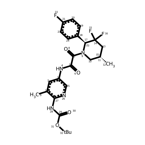 Cc1cc(NC(=O)C(=O)N2C[C@@H](C)CC(F)(F)[C@@H]2c2ccc(F)cc2)cnc1NC(=O)OC(C)(C)C